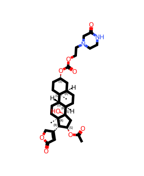 CC(=O)O[C@H]1C[C@]2(O)[C@@H]3CC[C@@H]4C[C@@H](OC(=O)OCCN5CCNC(=O)C5)CC[C@]4(C)[C@H]3CC[C@]2(C)[C@H]1C1=CC(=O)OC1